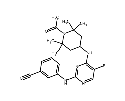 CC(=O)N1C(C)(C)CC(Nc2nc(Nc3cccc(C#N)c3)ncc2F)CC1(C)C